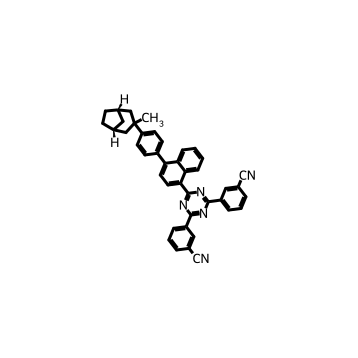 CC1(c2ccc(-c3ccc(-c4nc(-c5cccc(C#N)c5)nc(-c5cccc(C#N)c5)n4)c4ccccc34)cc2)C[C@@H]2CC[C@@H](C2)C1